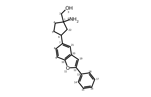 NC1(CO)CCC(c2ccc3oc(-c4ccccc4)cc3c2)C1